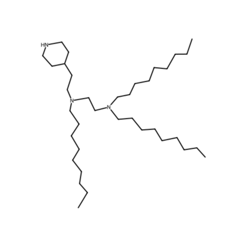 CCCCCCCCCN(CCCCCCCCC)CCN(CCCCCCCCC)CCC1CCNCC1